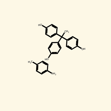 CC(c1ccc(O)cc1)(c1ccc(O)cc1)c1ccc(O)cc1.Cc1ccc(P)cc1